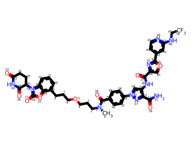 CN(CCCOCCCc1cccc2c1oc(=O)n2C1CCC(=O)NC1=O)C(=O)c1ccc(-n2cc(NC(=O)c3coc(-c4ccnc(NCC(F)(F)F)c4)n3)c(C(N)=O)n2)cc1